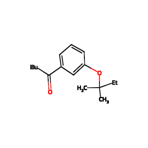 CCC(C)C(=O)c1cccc(OC(C)(C)CC)c1